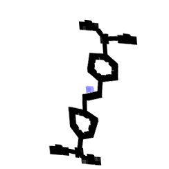 CCCCN(CCCC)c1ccc(/C=C/c2ccc(N(CCCC)CCCC)cc2)cc1